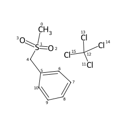 CS(=O)(=O)Cc1ccccc1.ClC(Cl)(Cl)Cl